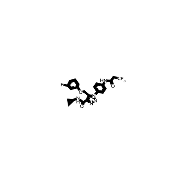 O=C(CC(F)(F)F)Nc1ccc(-n2nnc(C(=O)NC3CC3)c2COc2cccc(F)c2)cc1